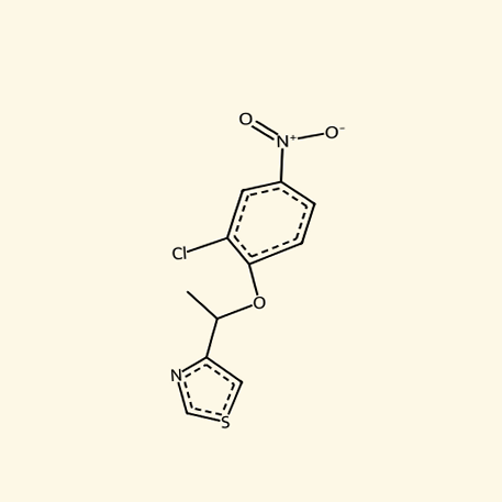 CC(Oc1ccc([N+](=O)[O-])cc1Cl)c1cscn1